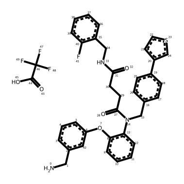 NCc1cccc(Oc2ccccc2N(Cc2ccc(-c3ccsc3)cc2)C(=O)CCC(=O)NCc2ccccc2F)c1.O=C(O)C(F)(F)F